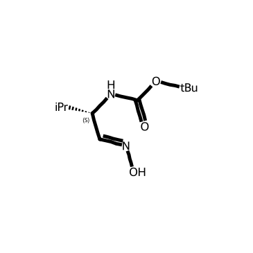 CC(C)[C@@H](C=NO)NC(=O)OC(C)(C)C